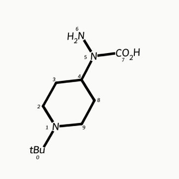 CC(C)(C)N1CCC(N(N)C(=O)O)CC1